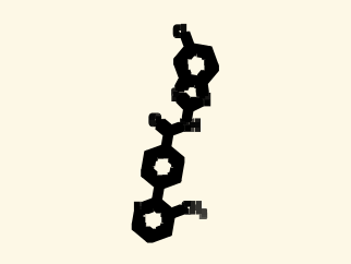 Cc1cccnc1-c1ccc(C(=O)Nc2nc3ccc(Cl)cc3s2)cc1